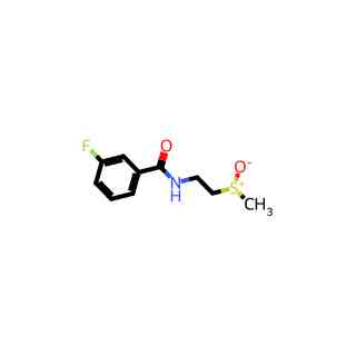 C[S+]([O-])CCNC(=O)c1cccc(F)c1